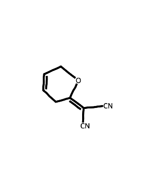 N#CC(C#N)=C1CC=CCO1